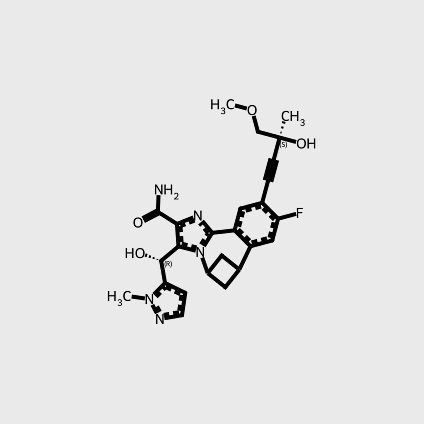 COC[C@@](C)(O)C#Cc1cc2c(cc1F)C1CC(C1)n1c-2nc(C(N)=O)c1[C@@H](O)c1ccnn1C